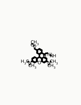 COOCc1ccc(C(=O)C=[N+]=N)c(C2c3ccc(N(C)C)cc3Oc3cc(N(C)C)ccc32)c1